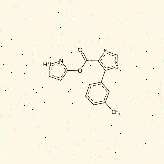 O=C(Oc1cc[nH]n1)c1ncsc1-c1cccc(C(F)(F)F)c1